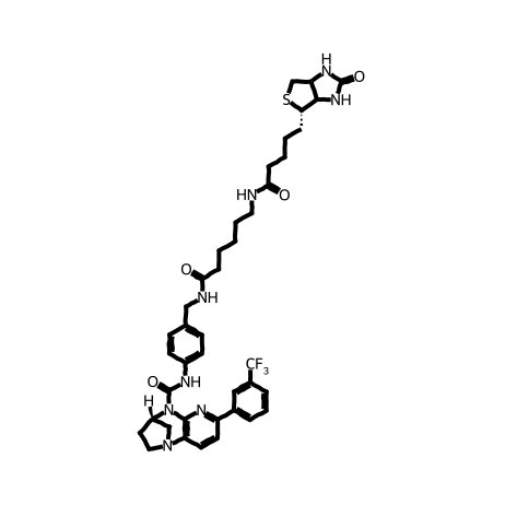 O=C(CCCC[C@@H]1SCC2NC(=O)NC21)NCCCCCC(=O)NCc1ccc(NC(=O)N2c3nc(-c4cccc(C(F)(F)F)c4)ccc3N3CC[C@H]2C3)cc1